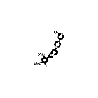 COc1cc(OC)c(-c2cn3ccc(N4CCN(c5ccnc(N)n5)CC4)cc3n2)cc1Cl